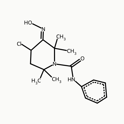 CC1(C)CC(Cl)C(=NO)C(C)(C)N1C(=O)Nc1ccccc1